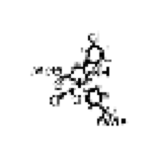 COC(=O)c1ccc([C@H]2c3[nH]c4ccc(Cl)cc4c3C[C@H](C(=O)OC)N2C(=O)CCl)cc1